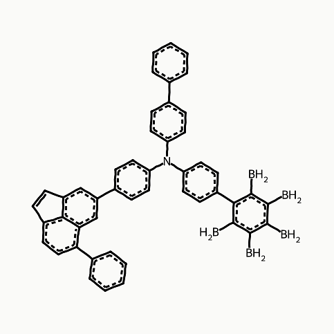 Bc1c(B)c(B)c(-c2ccc(N(c3ccc(-c4ccccc4)cc3)c3ccc(-c4cc5c6c(ccc(-c7ccccc7)c6c4)C=C5)cc3)cc2)c(B)c1B